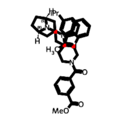 COC(=O)c1cccc(C(=O)N2CCC(CCN3[C@@H]4CC[C@H]3CC(n3c(C)nc5ccccc53)C4)(c3cccc(C(C)C)c3)CC2)c1